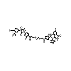 Cn1ncnc1[C@H]1c2n[nH]c(=O)c3cc(F)cc(c23)N[C@@H]1c1ccc(NCCCOCCCNc2ccc(N3C(=S)N(c4ccc(C#N)c(C(F)(F)F)c4)C(=O)C3(C)C)cc2F)cc1